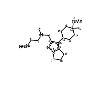 CNCCN(C)Cc1nn2c(c1C1CCC(C)(OC)CC1)CCC2